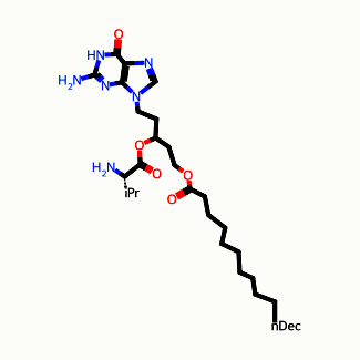 CCCCCCCCCCCCCCCCCCCC(=O)OCCC(CCn1cnc2c(=O)[nH]c(N)nc21)OC(=O)[C@@H](N)C(C)C